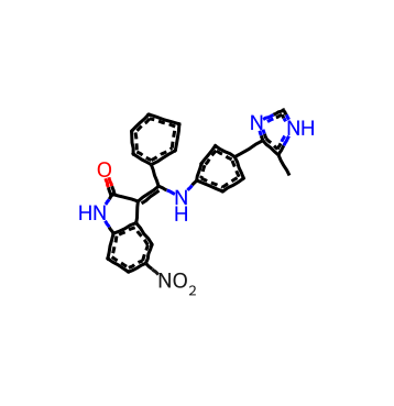 Cc1[nH]cnc1-c1ccc(NC(=C2C(=O)Nc3ccc([N+](=O)[O-])cc32)c2ccccc2)cc1